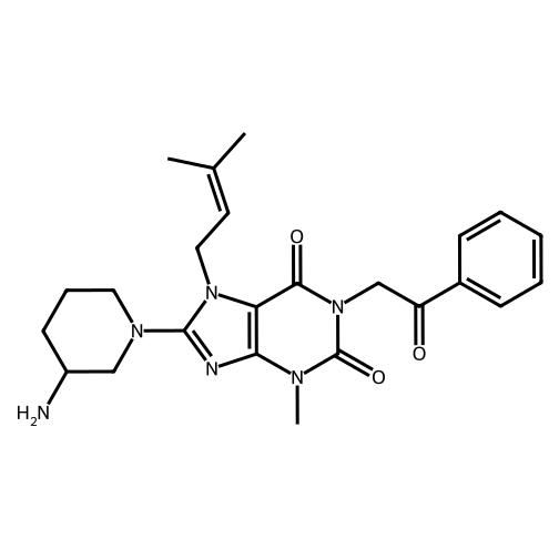 CC(C)=CCn1c(N2CCCC(N)C2)nc2c1c(=O)n(CC(=O)c1ccccc1)c(=O)n2C